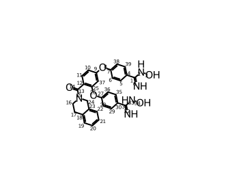 N=C(NO)c1ccc(Oc2ccc(C(=O)N3CCc4ccccc4C3)c(Oc3ccc(C(=N)NO)cc3)c2)cc1